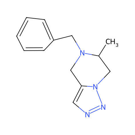 CC1Cn2nncc2CN1Cc1ccccc1